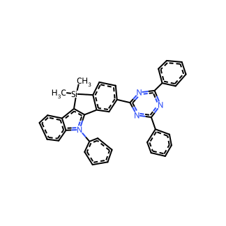 C[Si]1(C)c2ccc(-c3nc(-c4ccccc4)nc(-c4ccccc4)n3)cc2-c2c1c1ccccc1n2-c1ccccc1